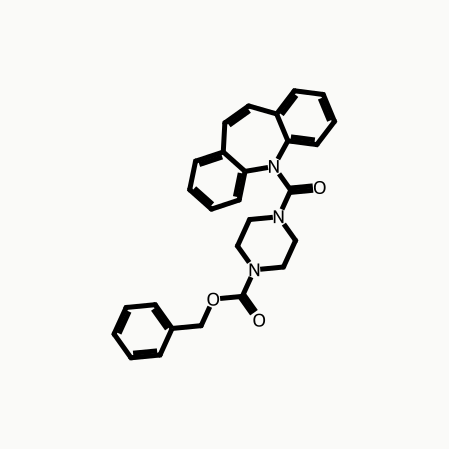 O=C(OCc1ccccc1)N1CCN(C(=O)N2c3ccccc3C=Cc3ccccc32)CC1